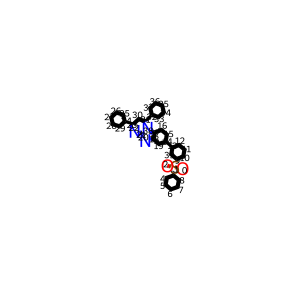 O=S(=O)(c1ccccc1)c1cccc(-c2ccc3c(c2)nc2nc(-c4ccccc4)cc(-c4ccccc4)n23)c1